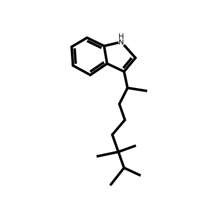 CC(CCCC(C)(C)C(C)C)c1c[nH]c2ccccc12